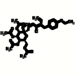 C=C/C(Cc1ccc(OCC)cc1)=C(Cl)\C=C/C[C@]1(OC)O[C@H](COC(C)=O)[C@@H](OC(C)=O)[C@H](OC(C)=O)[C@H]1OC(C)=O